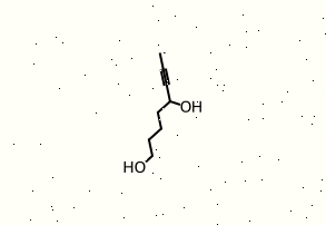 [CH2]C#CC(O)CCCCO